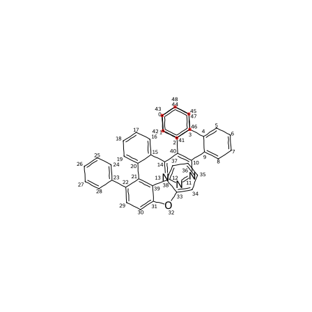 c1ccc(-c2ccccc2-c2nnnc(-c3ccccc3-c3c(-c4ccccc4)ccc4oc5ccccc5c34)c2-c2ccccc2)cc1